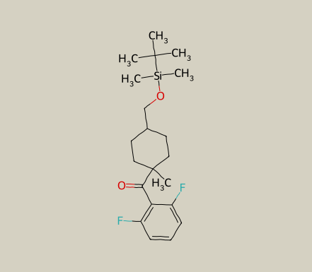 CC1(C(=O)c2c(F)cccc2F)CCC(CO[Si](C)(C)C(C)(C)C)CC1